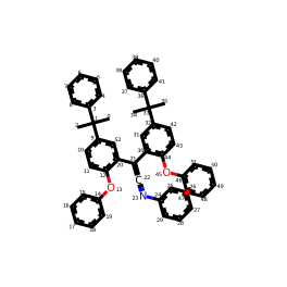 CC(C)(c1ccccc1)c1ccc(Oc2ccccc2)c(C(=C=Nc2ccccc2)c2cc(C(C)(C)c3ccccc3)ccc2Oc2ccccc2)c1